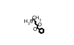 CN(C)C=CC(=O)C(=O)c1ccccc1